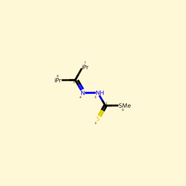 CSC(=S)NN=C(C(C)C)C(C)C